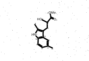 COC(=O)C(O)Cc1c(C)[nH]c2ccc(C)cc12